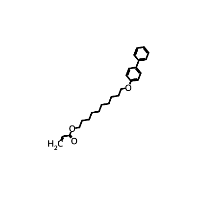 C=CC(=O)OCCCCCCCCCCOc1ccc(-c2ccccc2)cc1